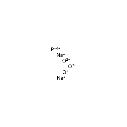 [Na+].[Na+].[O-2].[O-2].[O-2].[Pt+4]